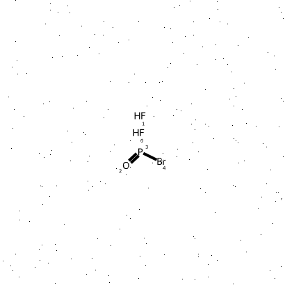 F.F.O=PBr